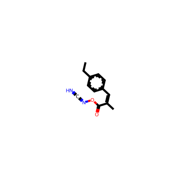 CCc1ccc(C=C(C)C(=O)ON=C=N)cc1